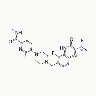 CNC(=O)c1ccc(N2CCN(Cc3ccc4nc([C@H](C)F)c(=O)[nH]c4c3F)CC2)c(C)n1